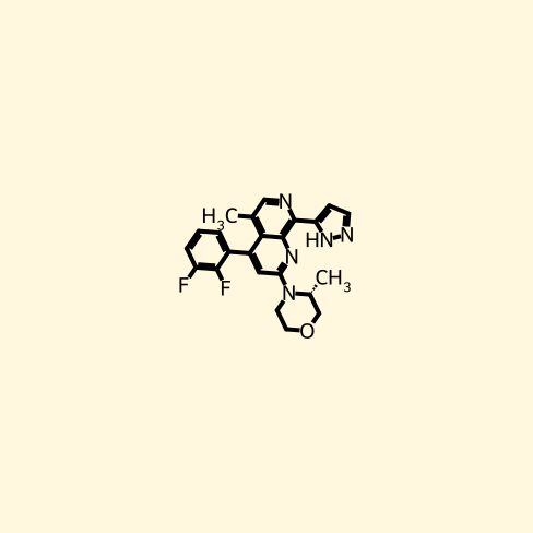 Cc1cnc(-c2ccn[nH]2)c2nc(N3CCOC[C@H]3C)cc(-c3cccc(F)c3F)c12